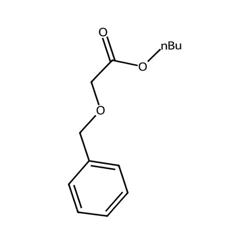 CCCCOC(=O)COCc1ccccc1